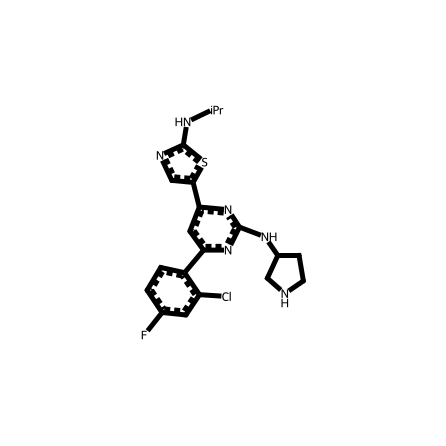 CC(C)Nc1ncc(-c2cc(-c3ccc(F)cc3Cl)nc(NC3CCNC3)n2)s1